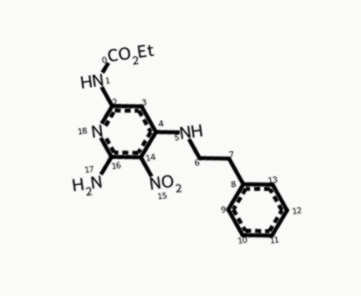 CCOC(=O)Nc1cc(NCCc2ccccc2)c([N+](=O)[O-])c(N)n1